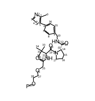 Cc1ncsc1-c1ccc(CNC(=O)[C@@H]2CCCN2C(=O)C(NC(=O)COCCOF)C(C)(C)C)cc1